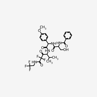 COc1ccc(C(NC(=O)C(CO)NC(=O)c2ccccc2)C(=O)NC(C(=O)C(F)(F)C(=O)NCC(F)(F)F)C(C)C)cc1